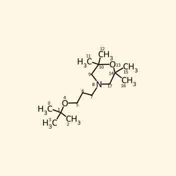 CC(C)(C)OCCCN1CC(C)(C)OC(C)(C)C1